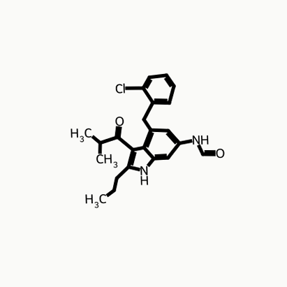 CCCc1[nH]c2cc(NC=O)cc(Cc3ccccc3Cl)c2c1C(=O)C(C)C